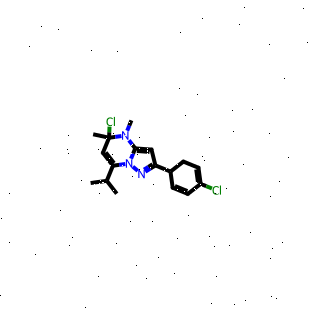 CC(C)C1=CC(C)(Cl)N(C)c2cc(C3C=CC(Cl)=CC3)nn21